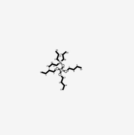 CCCC[O][Zr]([O]CCCC)([O]CCCC)[O][Si](CCC)(CCC)CCC